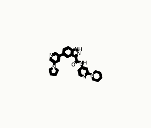 O=C(Nc1ccnc(N2CCCCC2)c1)c1n[nH]c2ccc(-c3cncc(N4CCCC4)c3)cc12